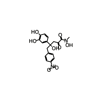 CN(O)C(=O)C(=O)CC(O)(Cc1ccc([N+](=O)[O-])cc1)c1ccc(O)c(O)c1